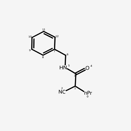 CCCC(C#N)C(=O)NCc1ccccc1